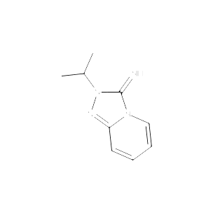 CC(C)n1nc2ccccn2c1=N